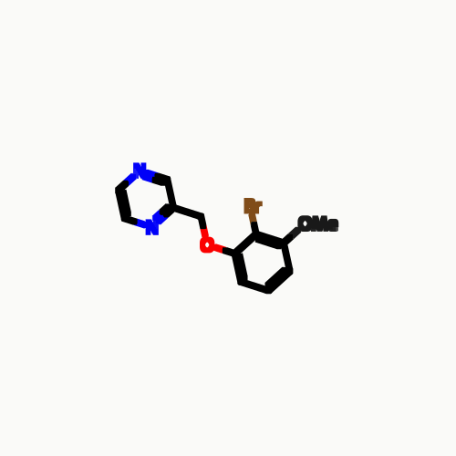 COc1cccc(OCc2cnccn2)c1Br